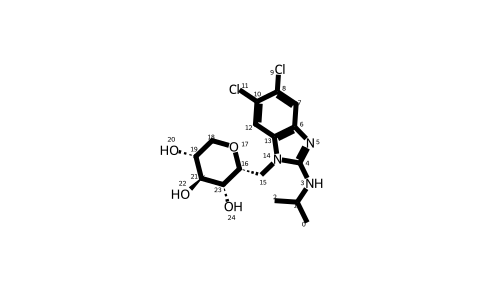 CC(C)Nc1nc2cc(Cl)c(Cl)cc2n1C[C@H]1OC[C@@H](O)[C@H](O)[C@H]1O